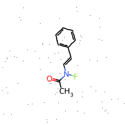 CC(=O)N(F)C=Cc1ccccc1